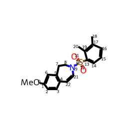 COc1ccc2c(c1)CCN(S(=O)(=O)c1cccc(C)c1C)C=C2